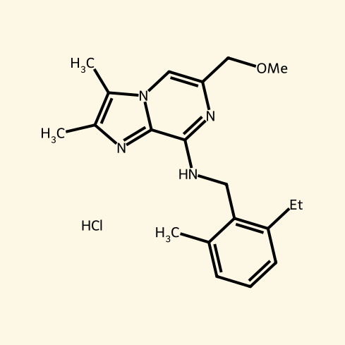 CCc1cccc(C)c1CNc1nc(COC)cn2c(C)c(C)nc12.Cl